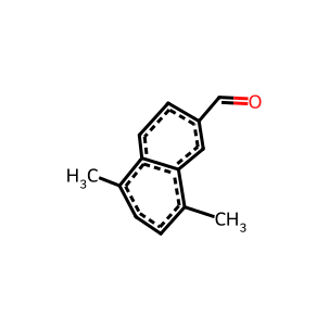 Cc1ccc(C)c2cc(C=O)ccc12